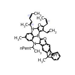 C=Cc1c(/C=C\C)oc2c1B1c3oc4c5c6c(cc4c3N(C(C)CCCCC)c3cc(C)cc(c31)N2/C(C)=C/C=C\C)C(C)(c1ccccc1-6)[C@@H]5C(C)C